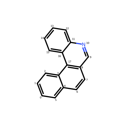 c1ccc2c(c1)ccc1cnc3ccccc3c12